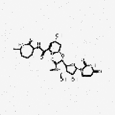 CNC(=O)[C@H](O[C@@H]1C[C@@H](O)C=C(C(=O)N[C@H]2CCC[C@@H](C)NC2=O)O1)[C@H]1O[C@@H](n2ccc(=O)[nH]c2=O)[C@H](O)[C@@H]1CO